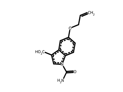 C=CCOc1ccc2c(c1)c(C(=O)O)cn2C(N)=O